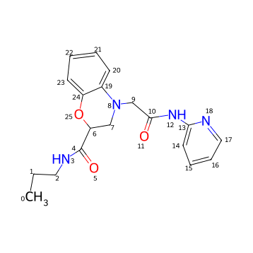 CCCNC(=O)C1CN(CC(=O)Nc2ccccn2)c2ccccc2O1